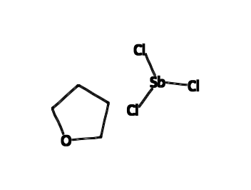 C1CCOC1.[Cl][Sb]([Cl])[Cl]